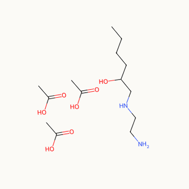 CC(=O)O.CC(=O)O.CC(=O)O.CCCCC(O)CNCCN